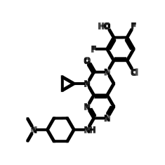 CN(C)C1CCC(Nc2ncc3c(n2)N(C2CC2)C(=O)N(c2c(Cl)cc(F)c(O)c2F)C3)CC1